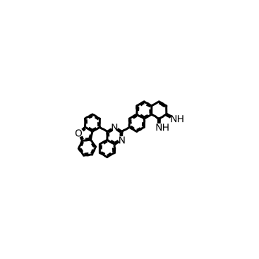 N=C1C=Cc2ccc3cc(-c4nc(-c5cccc6oc7ccccc7c56)c5ccccc5n4)ccc3c2C1=N